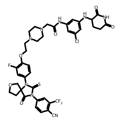 N#Cc1ccc(N2C(=O)C3(CCOC3)N(c3ccc(OCCN4CCN(CC(=O)Nc5cc(Cl)cc(NC6CCC(=O)NC6=O)c5)CC4)c(F)c3)C2=S)cc1C(F)(F)F